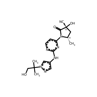 C[C@H]1C[C@](O)(C#N)C(=O)N1c1ccnc(Nc2cnn(C(C)(C)CO)c2)n1